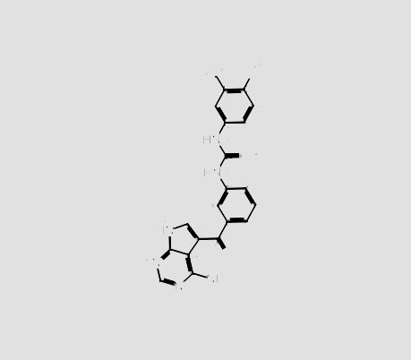 Nc1ncnc2[nH]cc(C(=O)c3cccc(NC(=O)Nc4ccc(F)c(Cl)c4)c3)c12